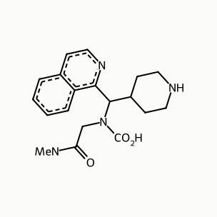 CNC(=O)CN(C(=O)O)C(c1nccc2ccccc12)C1CCNCC1